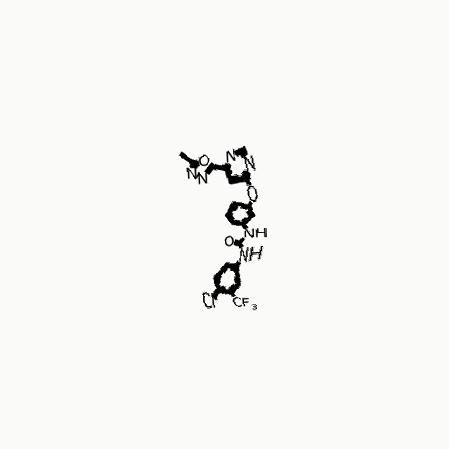 Cc1nnc(-c2cc(Oc3cccc(NC(=O)Nc4ccc(Cl)c(C(F)(F)F)c4)c3)ncn2)o1